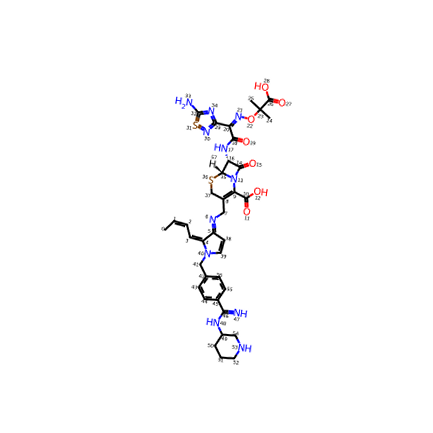 C\C=C/C=C1\C(=N\CC2=C(C(=O)O)N3C(=O)[C@@H](NC(=O)/C(=N\OC(C)(C)C(=O)O)c4nsc(N)n4)[C@H]3SC2)C=CN1Cc1ccc(C(=N)NC2CCCNC2)cc1